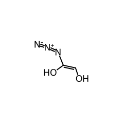 [N-]=[N+]=NC(O)=CO